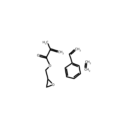 C=C.C=C(C)C(=O)OCC1CO1.C=Cc1ccccc1